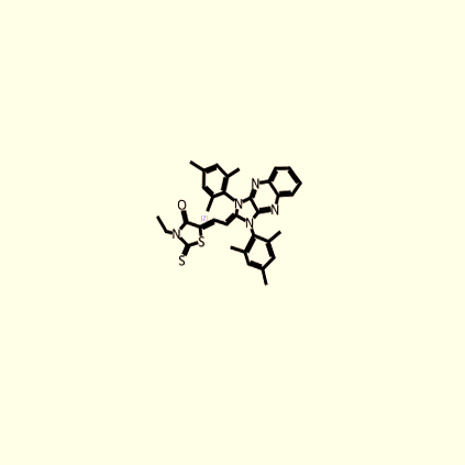 CCN1C(=O)/C(=C/C=C2N(c3c(C)cc(C)cc3C)c3nc4ccccc4nc3N2c2c(C)cc(C)cc2C)SC1=S